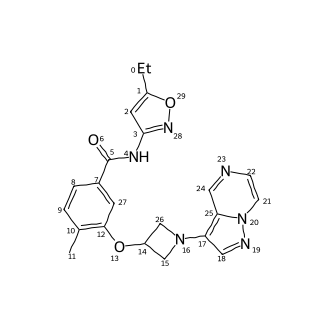 CCc1cc(NC(=O)c2ccc(C)c(OC3CN(c4cnn5ccncc45)C3)c2)no1